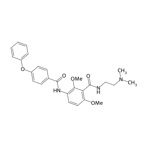 COc1ccc(NC(=O)c2ccc(Oc3ccccc3)cc2)c(OC)c1C(=O)NCCN(C)C